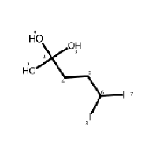 OC(O)(O)CCC(I)I